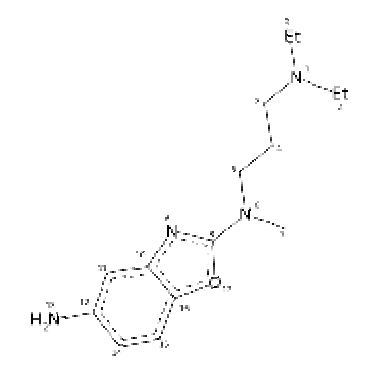 CCN(CC)CCCN(C)c1nc2cc(N)ccc2o1